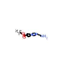 CCOC(=O)c1ccc(N2CCN(CCCCN)CC2)cc1